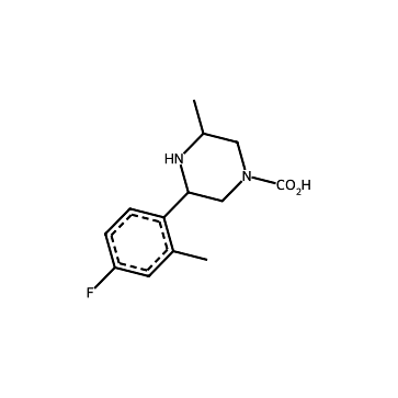 Cc1cc(F)ccc1C1CN(C(=O)O)CC(C)N1